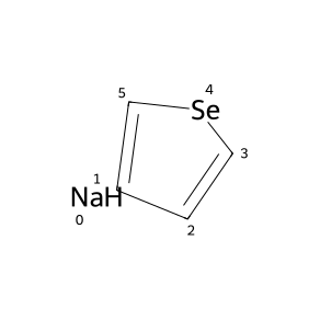 [NaH].c1cc[se]c1